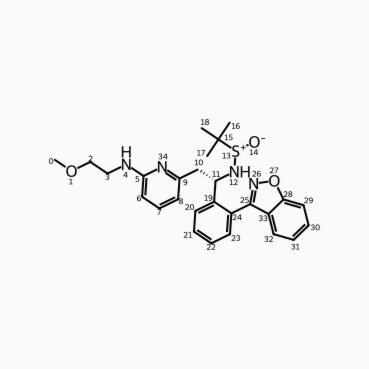 COCCNc1cccc(C[C@H](N[S+]([O-])C(C)(C)C)c2ccccc2-c2noc3ccccc23)n1